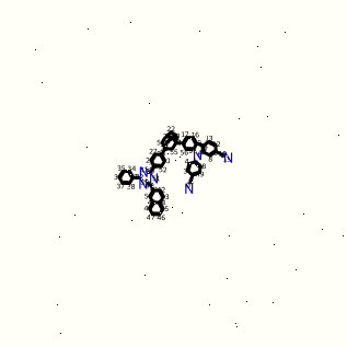 N#Cc1ccc(-n2c3cc(C#N)ccc3c3ccc(C45CC6CC4CC(c4ccc(-c7nc(-c8ccccc8)nc(-c8ccc9ccccc9c8)n7)cc4)(C6)C5)cc32)cc1